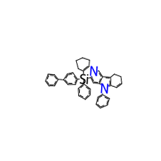 C1=Cc2c(c3cnc([Si](C4=CCCCC4)(c4ccccc4)c4ccc(-c5ccccc5)cc4)cc3n2-c2ccccc2)CC1